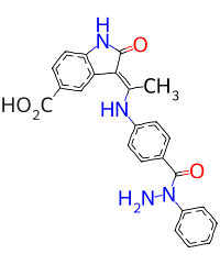 CC(Nc1ccc(C(=O)N(N)c2ccccc2)cc1)=C1C(=O)Nc2ccc(C(=O)O)cc21